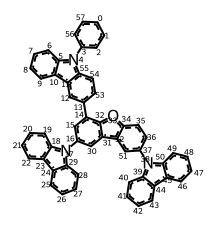 c1ccc(-n2c3ccccc3c3cc(-c4cc(-n5c6ccccc6c6ccccc65)cc5c4oc4ccc(-n6c7ccccc7c7ccccc76)cc45)ccc32)cc1